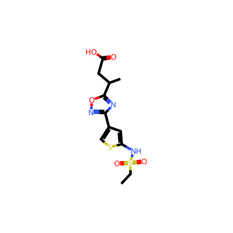 CCS(=O)(=O)Nc1cc(-c2noc(C(C)CC(=O)O)n2)cs1